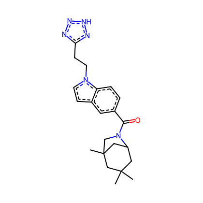 CC1(C)CC2CC(C)(CN2C(=O)c2ccc3c(ccn3CCc3nn[nH]n3)c2)C1